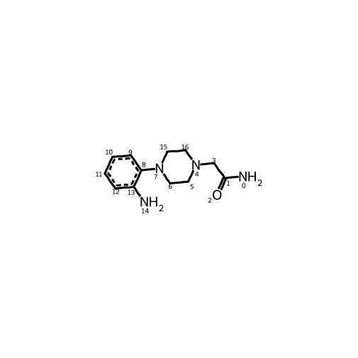 NC(=O)CN1CCN(c2ccccc2N)CC1